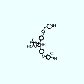 N#Cc1ccc(O[C@H]2CC[C@H](c3cnc(-c4ccc(N5CC(CN6CCNCC6)C5)cc4)[nH]3)CC2)cc1Cl.O=C(O)C(F)(F)F